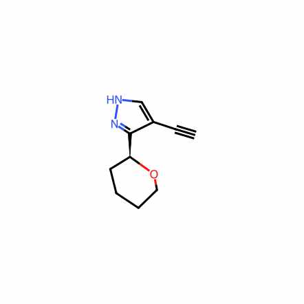 C#Cc1c[nH]nc1[C@@H]1CCCCO1